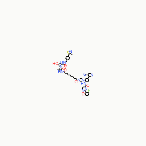 COc1cccc(F)c1-c1nccc(C(=O)Nc2ccc(-c3cnccc3C#N)cc2N2CCN(C(=O)CCCCCCCCC(=O)N[C@H](C(=O)N3C[C@H](O)C[C@H]3C(=O)NCc3ccc(-c4scnc4C)cc3)C(C)(C)C)CC2)n1